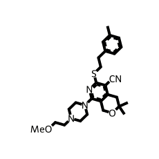 COCCN1CCN(c2nc(SCCc3cccc(C)c3)c(C#N)c3c2COC(C)(C)C3)CC1